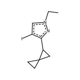 CCn1cc(I)c(C2CC23CC3)n1